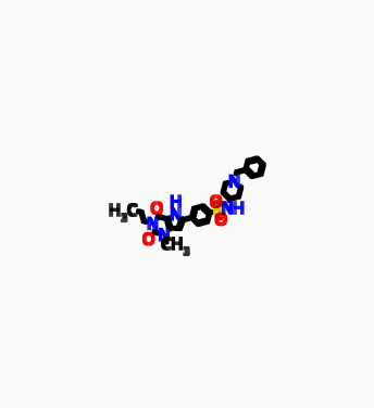 CCCn1c(=O)c2[nH]c(-c3ccc(S(=O)(=O)NC4CCN(Cc5ccccc5)CC4)cc3)cc2n(C)c1=O